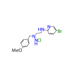 COc1ccc(CN(CCNc2ccc(Br)cn2)NCl)cc1